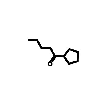 CCCCC(=O)C1CCCC1